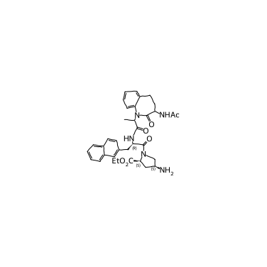 CCOC(=O)[C@@H]1C[C@H](N)CN1C(=O)[C@@H](Cc1ccc2ccccc2c1)NC(=O)C(C)N1C(=O)C(NC(C)=O)CCc2ccccc21